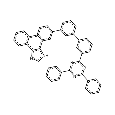 c1ccc(-c2nc(-c3ccccc3)nc(-c3cccc(-c4cccc(-c5ccc6c7ccccc7c7nc[nH]c7c6c5)c4)c3)n2)cc1